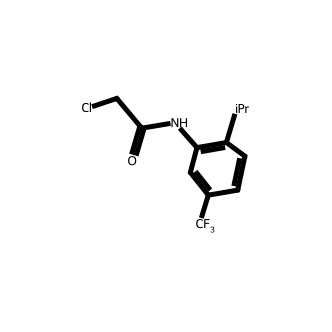 CC(C)c1ccc(C(F)(F)F)cc1NC(=O)CCl